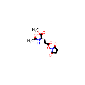 COC(=O)[C@H](CCC(=O)ON1C(=O)CCC1=O)NC(C)=O